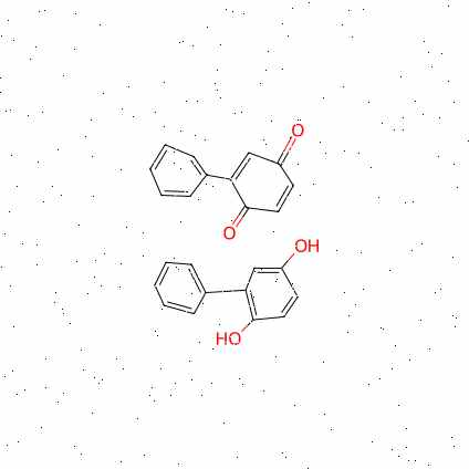 O=C1C=CC(=O)C(c2ccccc2)=C1.Oc1ccc(O)c(-c2ccccc2)c1